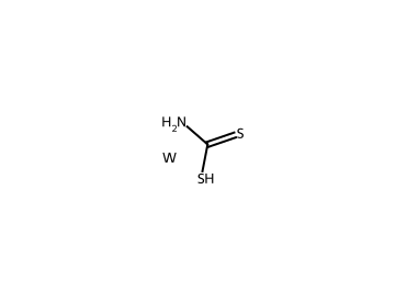 NC(=S)S.[W]